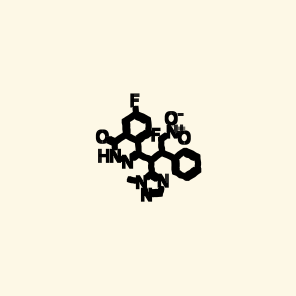 Cn1ncnc1C(c1n[nH]c(=O)c2cc(F)cc(F)c12)C(C[N+](=O)[O-])c1ccccc1